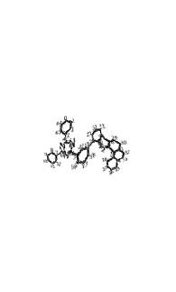 c1ccc(-c2nc(-c3ccccc3)nc(-c3cccc(-c4cccc5c4sc4c5ccc5ccc6ccccc6c54)c3)n2)cc1